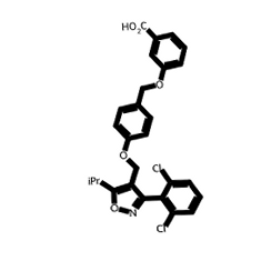 CC(C)c1onc(-c2c(Cl)cccc2Cl)c1COc1ccc(COc2cccc(C(=O)O)c2)cc1